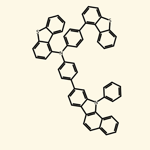 c1ccc(-n2c3cc(-c4ccc(N(c5ccc(-c6cccc7sc8ccccc8c67)cc5)c5cccc6sc7ccccc7c56)cc4)ccc3c3ccc4ccccc4c32)cc1